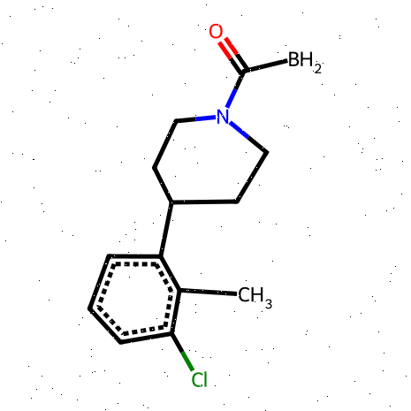 BC(=O)N1CCC(c2cccc(Cl)c2C)CC1